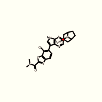 CN(C)C(=O)c1nc2ccc(-c3c[nH]c4nc(N5C6CCC5CC(N)C6)cnc34)c(Cl)c2s1